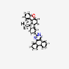 CCC1(C)c2ccc(-c3ncc4c5ccccc5c5ccccc5c4n3)cc2-c2ccc3oc4ccccc4c3c21